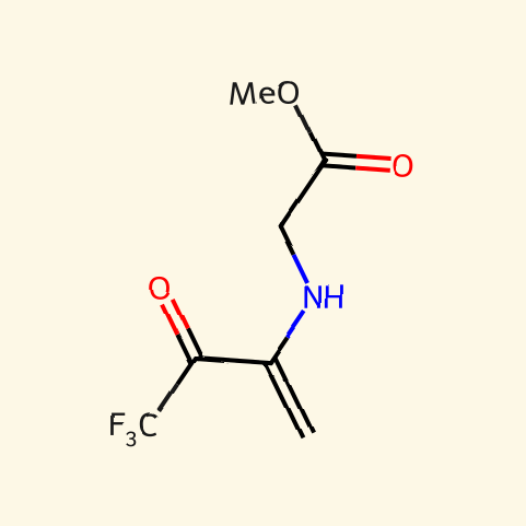 C=C(NCC(=O)OC)C(=O)C(F)(F)F